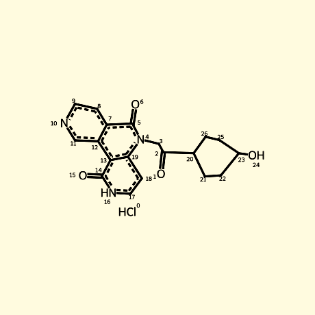 Cl.O=C(Cn1c(=O)c2ccncc2c2c(=O)[nH]ccc21)C1CCC(O)CC1